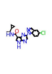 C[C@H](NC(=O)c1c[nH]c2ncc(-n3ncc4cc(Cl)ccc43)nc12)C1CC1